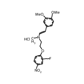 COc1ccc(C=CN(C)CCOc2ccc([N+](=O)[O-])cc2F)cc1OC.Cl